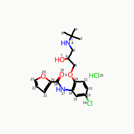 CC(C)(C)NCC(O)COc1ccc(Cl)cc1NC(=O)c1ccco1.Cl